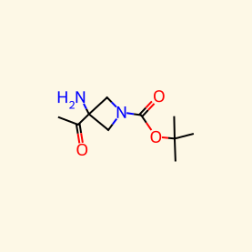 CC(=O)C1(N)CN(C(=O)OC(C)(C)C)C1